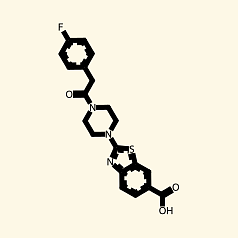 O=C(O)c1ccc2nc(N3CCN(C(=O)Cc4ccc(F)cc4)CC3)sc2c1